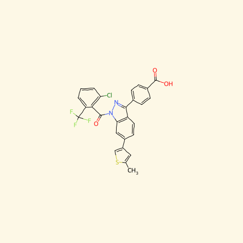 Cc1cc(-c2ccc3c(-c4ccc(C(=O)O)cc4)nn(C(=O)c4c(Cl)cccc4C(F)(F)F)c3c2)cs1